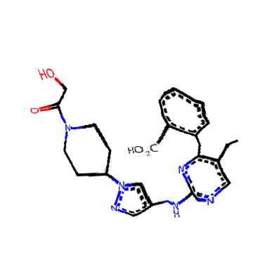 Cc1cnc(Nc2cnn(C3CCN(C(=O)CO)CC3)c2)nc1-c1ccccc1C(=O)O